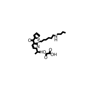 CCCCNCCCCCCSc1nc(C(C)C)ccc1C(=O)c1cccs1.O=C(O)C(=O)O